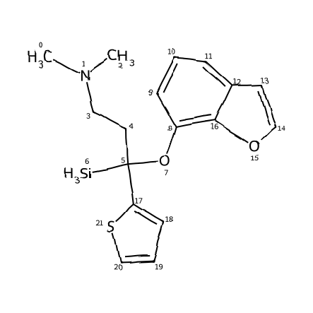 CN(C)CCC([SiH3])(Oc1cccc2ccoc12)c1cccs1